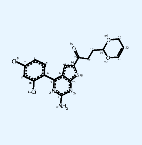 Nc1nc(-c2ccc(Cl)cc2Cl)c2cc(C(=O)CCC3OC=CCO3)sc2n1